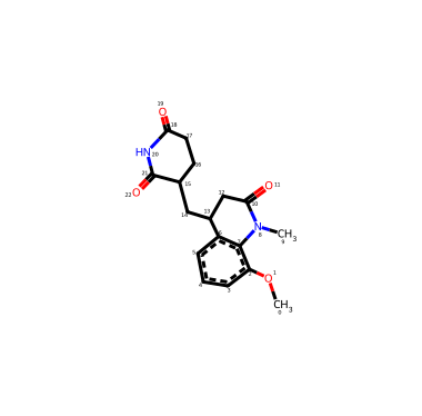 COc1cccc2c1N(C)C(=O)CC2CC1CCC(=O)NC1=O